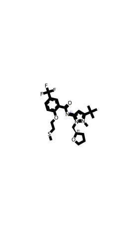 CSCCOc1ccc(C(F)(F)F)cc1C(=O)/N=c1\cc(C(C)(C)C)n(C)n1C[C@H]1CCCO1